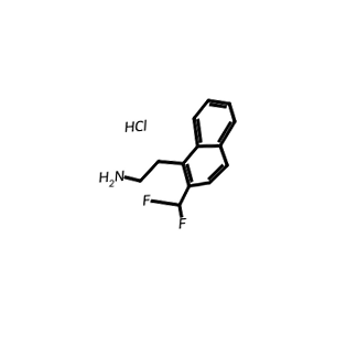 Cl.NCCc1c(C(F)F)ccc2ccccc12